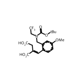 COc1ccc(C=C(CC(=O)O)C(=O)O)c(CN(CC(F)(F)F)C(=O)OC(C)(C)C)c1